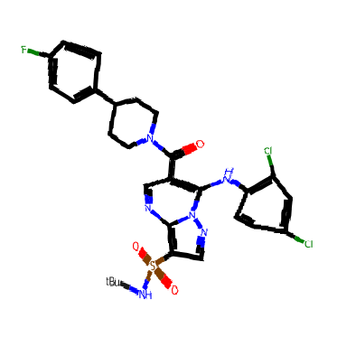 CC(C)(C)NS(=O)(=O)c1cnn2c(Nc3ccc(Cl)cc3Cl)c(C(=O)N3CCC(c4ccc(F)cc4)CC3)cnc12